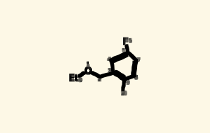 CCOCc1cc(F)ccc1C